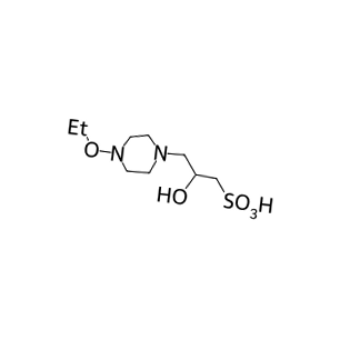 CCON1CCN(CC(O)CS(=O)(=O)O)CC1